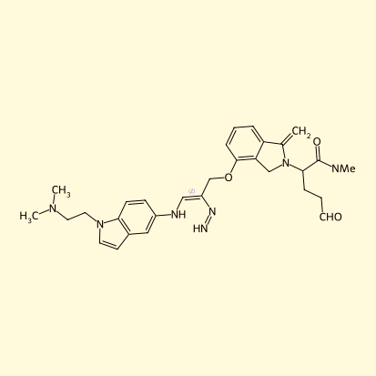 C=C1c2cccc(OC/C(=C/Nc3ccc4c(ccn4CCN(C)C)c3)N=N)c2CN1C(CCC=O)C(=O)NC